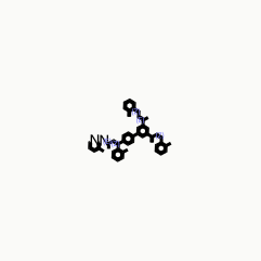 C=C(/C=C\c1ccccc1C)c1cc(/C(C)=C/C=c2/ccccc2=C)cc(-c2ccc(/C(=C/C(C)=N/c3ncccc3C)c3ccccc3C)cc2)c1